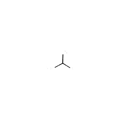 CC(=O)C(C#N)C=O